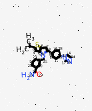 C=C(C)c1cc2c(cc(-c3ccc(-n4ccnc4)cc3)n2Cc2cccc(C(N)=O)c2)s1